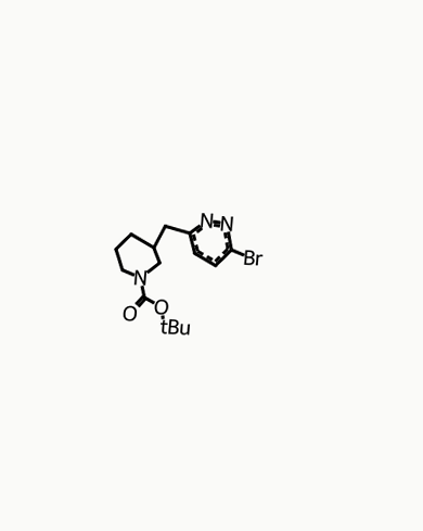 CC(C)(C)OC(=O)N1CCCC(Cc2ccc(Br)nn2)C1